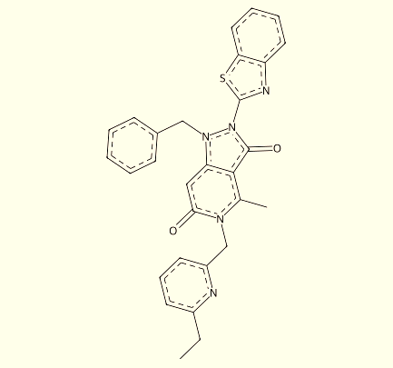 CCc1cccc(Cn2c(C)c3c(=O)n(-c4nc5ccccc5s4)n(Cc4ccccc4)c3cc2=O)n1